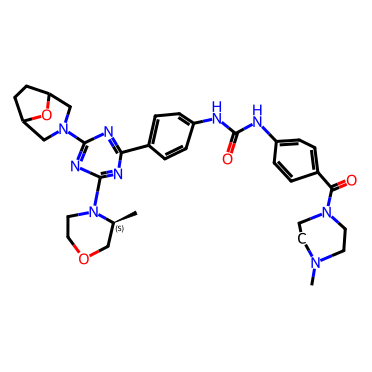 C[C@H]1COCCN1c1nc(-c2ccc(NC(=O)Nc3ccc(C(=O)N4CCN(C)CC4)cc3)cc2)nc(N2CC3CCC(C2)O3)n1